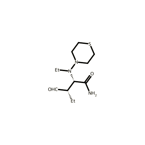 CC[C@H](C=O)[C@@H](C(N)=O)N(CC)N1CCSCC1